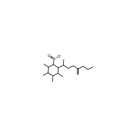 C=C(CCC)CCC(C)C1C(C)C(C)C(C)C(C)C1[N+](=O)[O-]